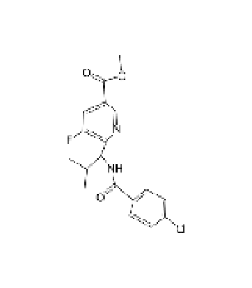 COC(=O)c1cnc(C(NC(=O)c2ccc(Cl)cc2)C(C)C)c(F)c1